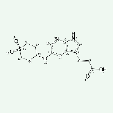 O=C(O)/C=C/c1c[nH]c2ncc(OC3CCS(=O)(=O)CC3)cc12